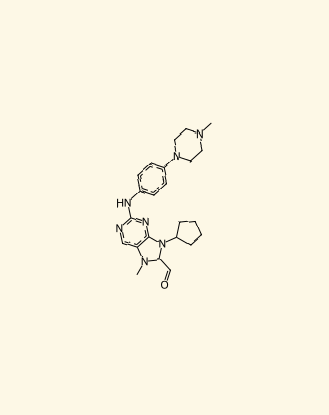 CN1CCN(c2ccc(Nc3ncc4c(n3)N(C3CCCC3)C(C=O)N4C)cc2)CC1